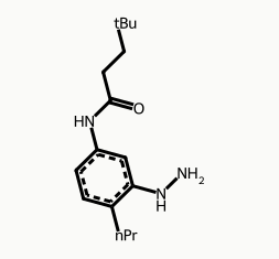 CCCc1ccc(NC(=O)CCC(C)(C)C)cc1NN